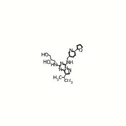 CC(C)c1cnn2c(NCc3ccc(-c4ccco4)nc3)nc(NC[C@H](O)CO)nc12